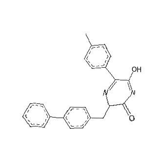 Cc1ccc(C2=NC(Cc3ccc(-c4ccccc4)cc3)C(=O)N=C2O)cc1